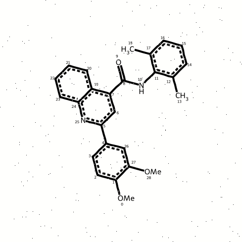 COc1ccc(-c2cc(C(=O)Nc3c(C)cccc3C)c3ccccc3n2)cc1OC